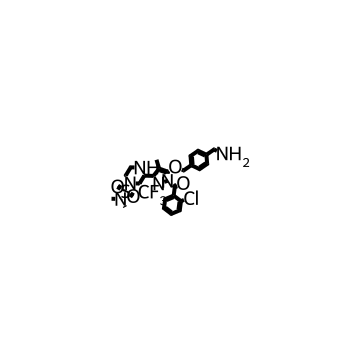 Cc1c(C2NCCN(S(=O)(=O)N(C)C)C2C(F)(F)F)nn(C(=O)c2ccccc2Cl)c1OCc1ccc(CN)cc1